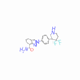 C[C@]1(c2ccc(-n3cc4cccc(C(N)=O)c4n3)cc2)CNCCC1(F)F